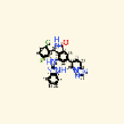 O=C1NC(c2cc(F)ccc2Cl)c2c(Nc3nc4ccccc4[nH]3)cc(-c3ccc4ncnn4c3)cc21